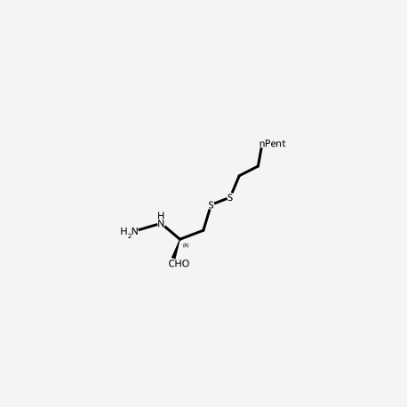 CCCCCCCSSC[C@@H](C=O)NN